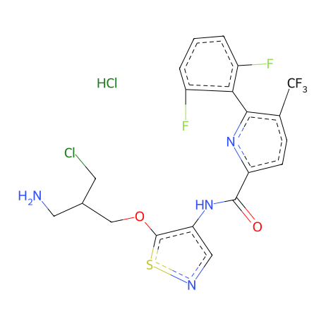 Cl.NCC(CCl)COc1sncc1NC(=O)c1ccc(C(F)(F)F)c(-c2c(F)cccc2F)n1